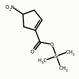 C[Si](C)(C)OC(=O)C1=CCC([N+](=O)[O-])C1